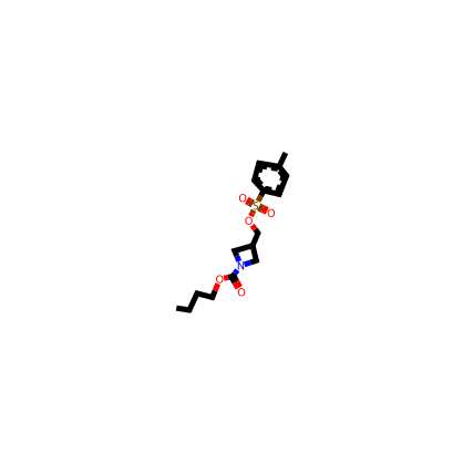 CCCCOC(=O)N1CC(COS(=O)(=O)c2ccc(C)cc2)C1